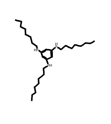 CCCCCCCCPc1cc(PCCCCCCCC)cc(PCCCCCCCC)c1